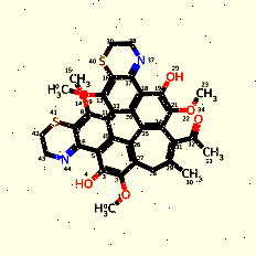 COc1c(O)c2c3c(c(OC)c4c5c(OC)c6c(c7c(O)c(OC)c8c(c(c1CC(C)=C8C(C)=O)c24)c75)=NCCS6)SCCN=3